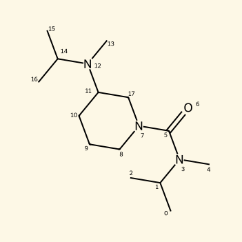 CC(C)N(C)C(=O)N1CCCC(N(C)C(C)C)C1